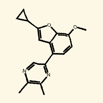 COc1ccc(-c2cnc(C)c(C)n2)c2cc(C3CC3)oc12